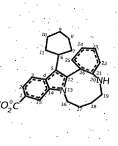 O=C(O)c1ccc2c(C3CCCCC3)c3n(c2c1)CCCCNc1ccccc1-3